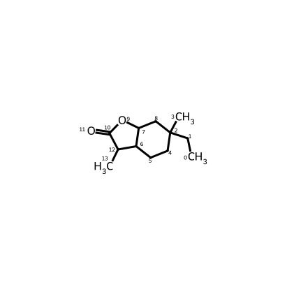 CCC1(C)CCC2C(C1)OC(=O)C2C